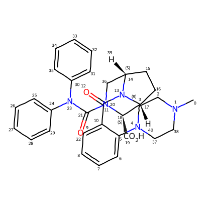 CN1CCN(c2ccccc2C(=O)N2[C@H]3CC[C@@H]2[C@@H](C(=O)O)N(C(=O)N(c2ccccc2)c2ccccc2)C3)CC1